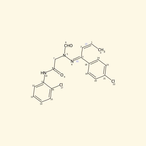 C/C=C\C(=N/N(C=O)CC(=O)Nc1ccccc1Cl)c1ccc(Cl)cc1